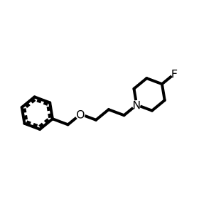 FC1CCN(CCCOCc2ccccc2)CC1